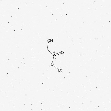 CCO[PH](=O)CO